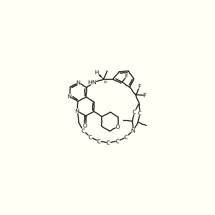 CC1CC2CC(C)N1CCCCCCCn1c(=O)c(C3CCOCC3)cc3c(ncnc31)N[C@H](C)c1cccc(c1F)C2(F)F